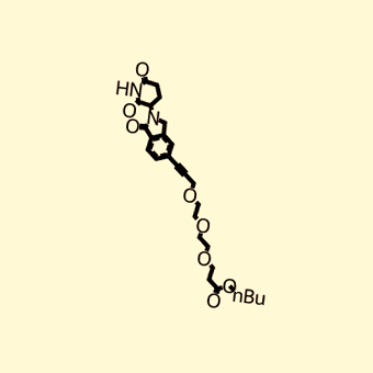 CCCCOC(=O)CCOCCOCCOCC#Cc1ccc2c(c1)CN(C1CCC(=O)NC1=O)C2=O